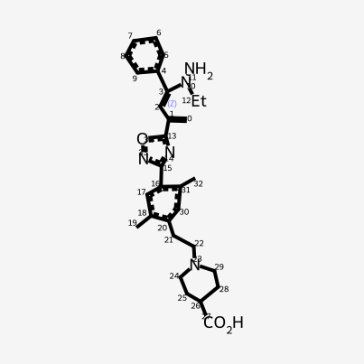 C=C(/C=C(/c1ccccc1)N(N)CC)c1nc(-c2cc(C)c(CCN3CCC(C(=O)O)CC3)cc2C)no1